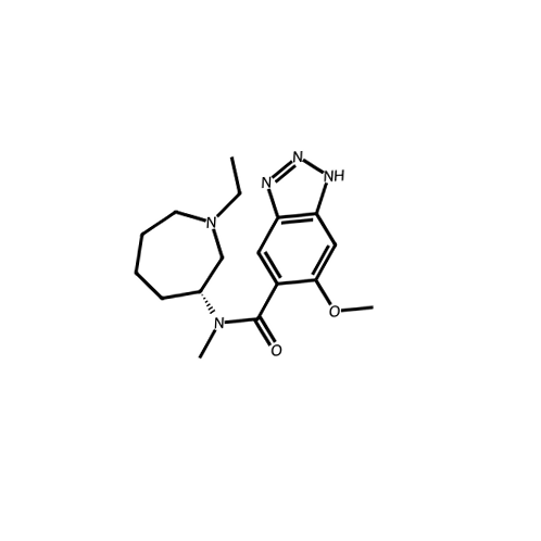 CCN1CCCC[C@@H](N(C)C(=O)c2cc3nn[nH]c3cc2OC)C1